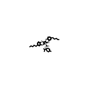 CCCCCc1ccc2c(c1)N=c1c(c3c(n1C(=O)OC1(C(C)C)CC=C(C)CC1)=Nc1cc(CCCCC)ccc1S3)S2